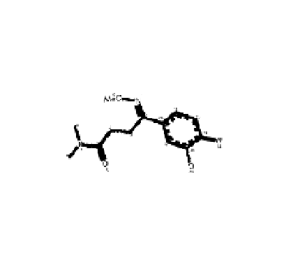 CO/N=C(\CCC(=O)N(C)C)c1ccc(Cl)c(Cl)c1